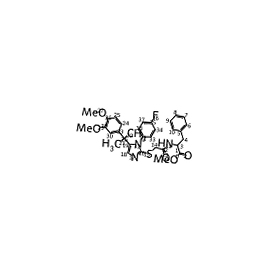 COC(=O)C(Cc1ccccc1)NC(=O)CSc1ncc(C(C)(C)c2ccc(OC)c(OC)c2)n1-c1ccc(F)cc1